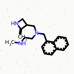 C=C1NCC1CN(CCNC)Cc1cccc2ccccc12